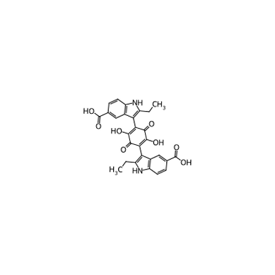 CCc1[nH]c2ccc(C(=O)O)cc2c1C1=C(O)C(=O)C(c2c(CC)[nH]c3ccc(C(=O)O)cc23)=C(O)C1=O